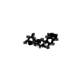 CC1=CC(CC2C[C@H](C)C(c3cc4[nH]ncc4cc3C)CN2)OC(C)C1